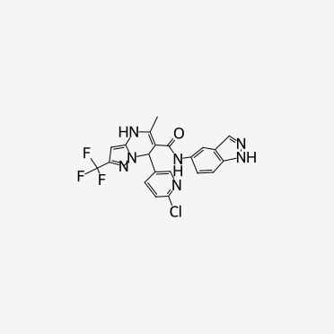 CC1=C(C(=O)Nc2ccc3[nH]ncc3c2)C(c2ccc(Cl)nc2)n2nc(C(F)(F)F)cc2N1